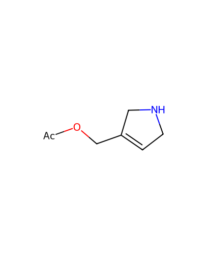 CC(=O)OCC1=CCNC1